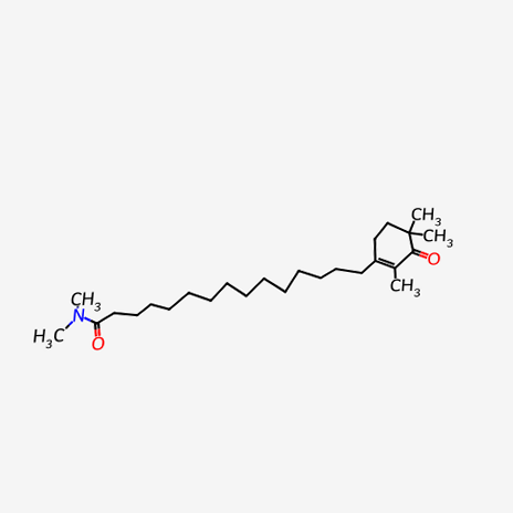 CC1=C(CCCCCCCCCCCCCCC(=O)N(C)C)CCC(C)(C)C1=O